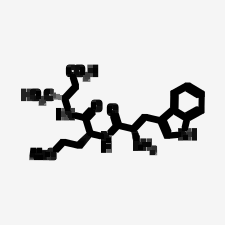 CSCC[C@H](NC(=O)[C@H](N)Cc1c[nH]c2ccccc12)C(=O)N[C@@H](CC(=O)O)C(=O)O